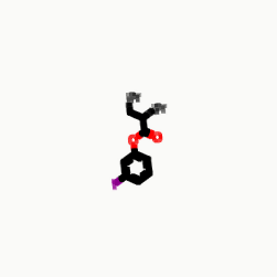 CC(C)CC(C(=O)Oc1cccc(I)c1)C(C)C